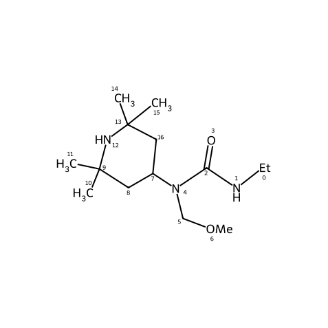 CCNC(=O)N(COC)C1CC(C)(C)NC(C)(C)C1